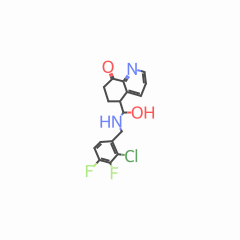 O=C1CCC(C(O)NCc2ccc(F)c(F)c2Cl)c2cccnc21